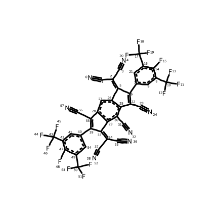 N#CC(C#N)=C1C(c2cc(C(F)(F)F)c(F)c(C(F)(F)F)c2)=C(C#N)c2c1cc1c(c2C#N)C(=C(C#N)C#N)C(c2cc(C(F)(F)F)c(F)c(C(F)(F)F)c2)=C1C#N